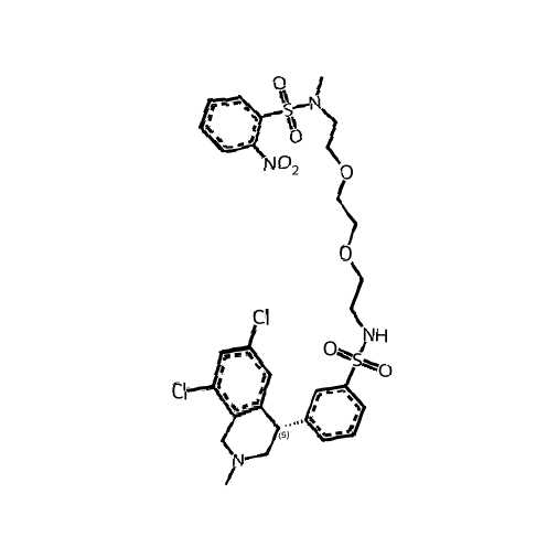 CN1Cc2c(Cl)cc(Cl)cc2[C@H](c2cccc(S(=O)(=O)NCCOCCOCCN(C)S(=O)(=O)c3ccccc3[N+](=O)[O-])c2)C1